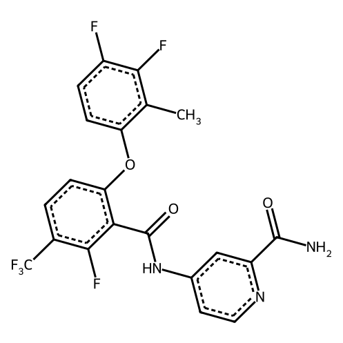 Cc1c(Oc2ccc(C(F)(F)F)c(F)c2C(=O)Nc2ccnc(C(N)=O)c2)ccc(F)c1F